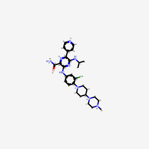 CC(C)Nc1nc(Nc2ccc(N3CCC(N4CCN(C)CC4)CC3)c(F)c2)c(C(N)=O)nc1-c1ccncc1